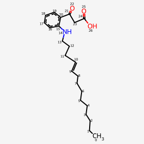 CCCCCCCCCC=CCCCNc1ccccc1C(=O)CC(=O)O